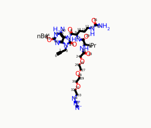 C#CCn1c(=O)n(C(=O)C(CCCNC(N)=O)NC(=O)C(NC(=O)COCCOCCOCCN=[N+]=[N-])C(C)C)c2c(N)nc(OCCCC)nc21